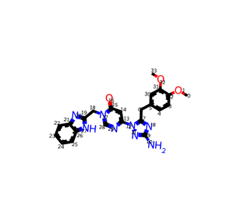 COc1ccc(Cc2nc(N)nn2-c2cc(=O)n(Cc3nc4ccccc4[nH]3)cn2)cc1OC